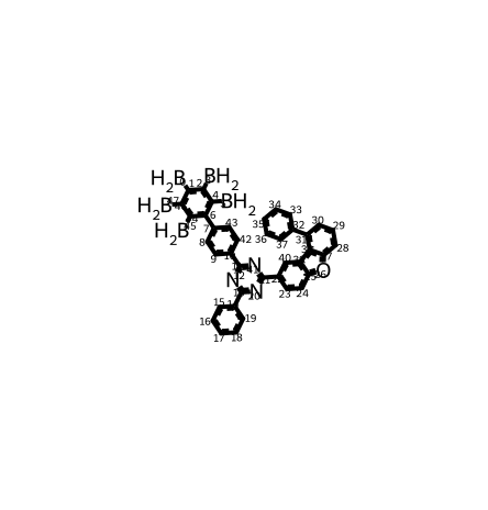 Bc1c(B)c(B)c(-c2ccc(-c3nc(-c4ccccc4)nc(-c4ccc5oc6cccc(-c7ccccc7)c6c5c4)n3)cc2)c(B)c1B